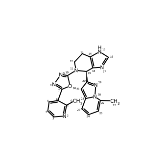 Cc1ncccc1-c1nnc(N2CCc3[nH]cnc3[C@H]2c2cc3cccc(C)n3n2)o1